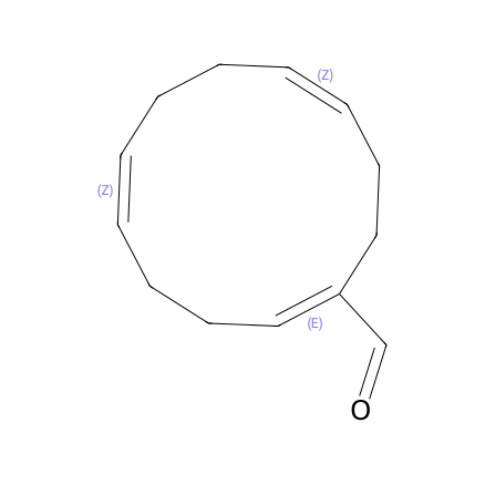 O=C/C1=C/CC/C=C\CC/C=C\CC1